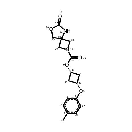 Cc1ccc(O[C@H]2C[C@@H](OC(=O)N3CC4(COC(=O)N4)C3)C2)cc1